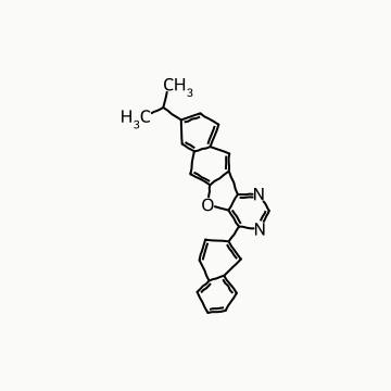 CC(C)c1ccc2cc3c(cc2c1)oc1c(-c2ccc4ccccc4c2)ncnc13